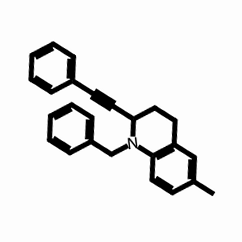 Cc1ccc2c(c1)CCC(C#Cc1ccccc1)N2Cc1ccccc1